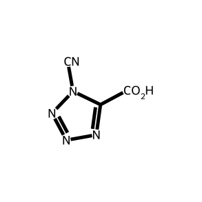 N#Cn1nnnc1C(=O)O